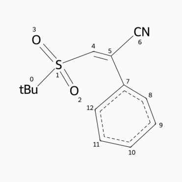 CC(C)(C)S(=O)(=O)/C=C(/C#N)c1ccccc1